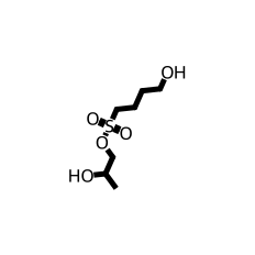 CC(O)COS(=O)(=O)CCCCO